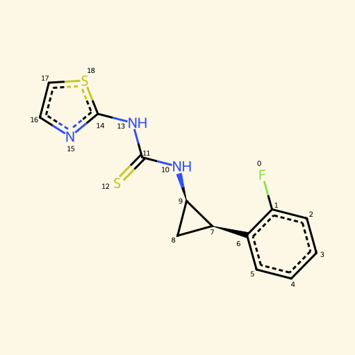 Fc1ccccc1[C@H]1C[C@H]1NC(=S)Nc1nccs1